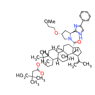 C=C(C)[C@@H]1CC[C@]2(C(=O)N3C[C@H](OCCOC)C[C@H]3c3nc(-c4ccccc4)c[nH]3)CC[C@]3(C)[C@H](CC[C@@H]4[C@@]5(C)CC[C@H](OC(=O)CC(C)(C)C(=O)O)C(C)(C)[C@@H]5CC[C@]43C)[C@@H]12